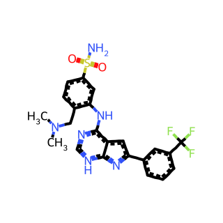 CN(C)Cc1ccc(S(N)(=O)=O)cc1Nc1nc[nH]c2nc(-c3cccc(C(F)(F)F)c3)cc1-2